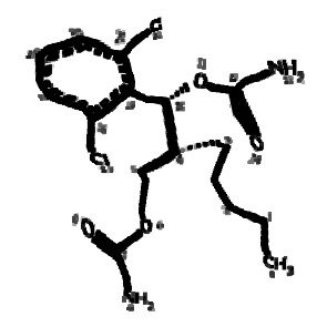 CCCC[C@H](COC(N)=O)[C@@H](OC(N)=O)c1c(Cl)cccc1Cl